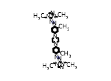 CCn1nc[n+](CC)c1/N=N/c1ccc(N2CCN(c3ccc(/N=N/c4n(CC)nc[n+]4CC)c(C)c3)CC2)cc1C